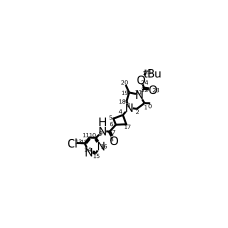 CC1CN(C2CC(C(=O)Nc3cc(Cl)ncn3)C2)CC(C)N1C(=O)OC(C)(C)C